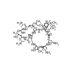 CC[C@H](C)CCCCC(=O)N[C@@H](CCN)C(=O)N[C@H](C(=O)N[C@@H](CCN)C(=O)N[C@H]1CCNC(=O)[C@H]([C@@H](C)O)NC(=O)[C@H](CCN)NC(=O)[C@H](CCN)NC(=O)[C@H](CC(C)C)NC(=O)[C@@H](Cc2ccc(C(C)(C)C)cc2)NC(=O)[C@H](CCN)NC1=O)[C@@H](C)O